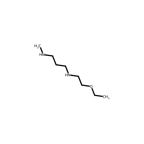 CCOCCNCCCNC